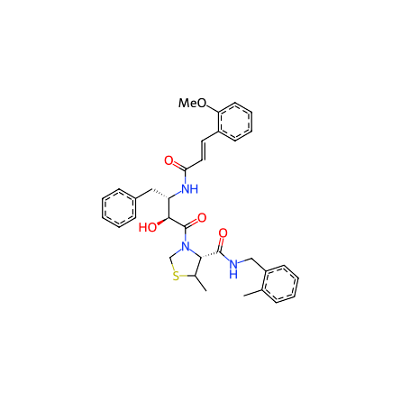 COc1ccccc1/C=C/C(=O)N[C@@H](Cc1ccccc1)[C@H](O)C(=O)N1CSC(C)[C@H]1C(=O)NCc1ccccc1C